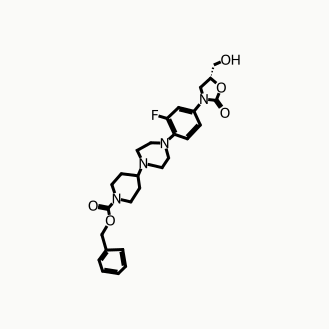 O=C(OCc1ccccc1)N1CCC(N2CCN(c3ccc(N4C[C@H](CO)OC4=O)cc3F)CC2)CC1